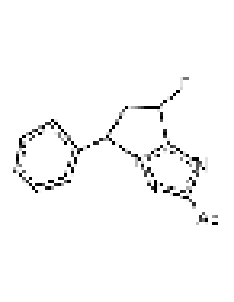 CC(=O)c1nc2n(n1)C(c1ccccc1)CC2F